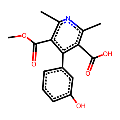 COC(=O)c1c(C)nc(C)c(C(=O)O)c1-c1cccc(O)c1